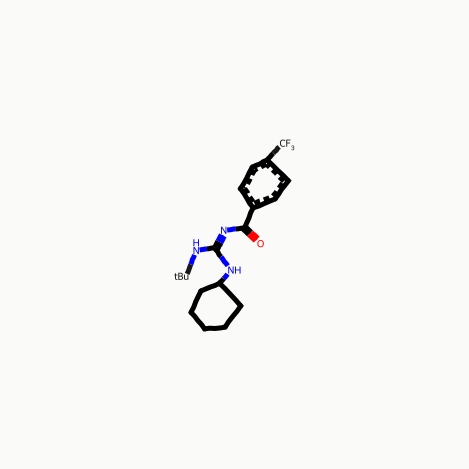 CC(C)(C)N/C(=N/C(=O)c1ccc(C(F)(F)F)cc1)NC1CCCCC1